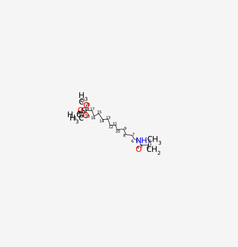 C=C(C)C(=O)NCCCCCCCCCCCC[Si](OC)(OC)OC